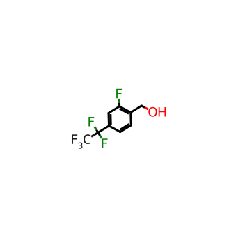 OCc1ccc(C(F)(F)C(F)(F)F)cc1F